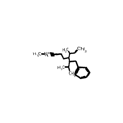 CCC(C)C(CCC#[N+]C)[C](Cc1ccccc1)C(C)C